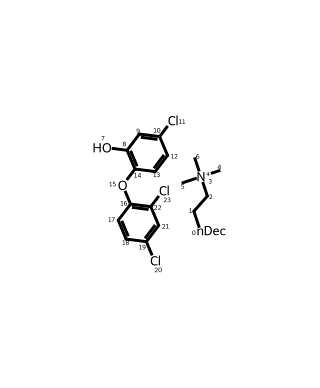 CCCCCCCCCCCC[N+](C)(C)C.Oc1cc(Cl)ccc1Oc1ccc(Cl)cc1Cl